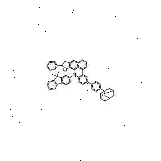 CC1(C)c2ccccc2-c2ccc(N(c3ccc(-c4ccc(C56CC7CC(CC(C7)C5)C6)cc4)cc3-c3ccccc3)c3cccc4c3OC(c3ccccc3)C4)cc21